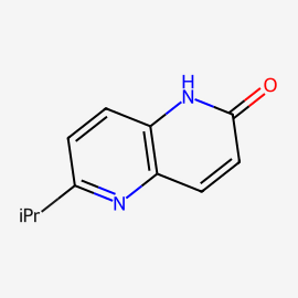 CC(C)c1ccc2[nH]c(=O)ccc2n1